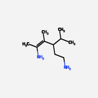 C/C(N)=C(\C)C(CCN)C(C)C